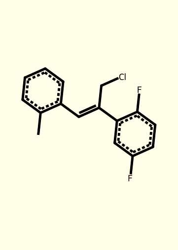 Cc1ccccc1C=C(CCl)c1cc(F)ccc1F